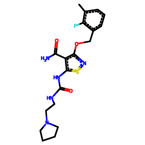 Cc1cccc(COc2nsc(NC(=O)NCCN3CCCC3)c2C(N)=O)c1F